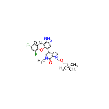 Cn1cc(-c2ccc(N)c([N+](=O)[O-])c2Oc2ccc(F)cc2F)c2ccn(COCC[Si](C)(C)C)c2c1=O